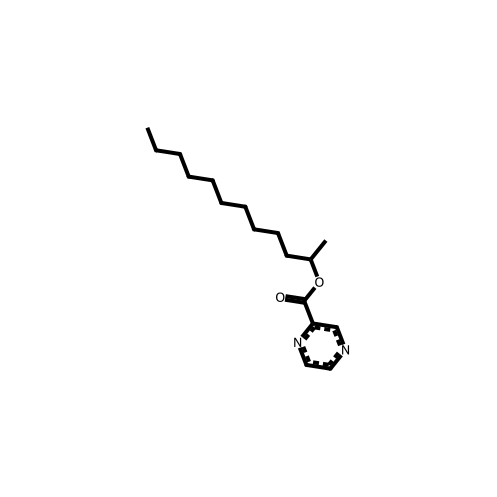 CCCCCCCCCCC(C)OC(=O)c1cnccn1